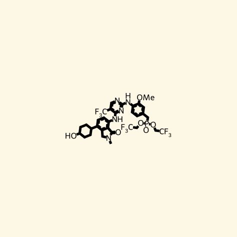 COc1cc(CP(=O)(OCC(F)(F)F)OCC(F)(F)F)ccc1Nc1ncc(C(F)(F)F)c(Nc2ccc(C3CCC(O)CC3)c3c2C(=O)N(C)C3)n1